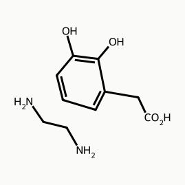 NCCN.O=C(O)Cc1cccc(O)c1O